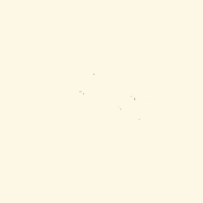 CN1C(Nc2c(Cl)cccc2Cl)=NC2C=Cc3nc(C4=CC(O)CC4)[nH]c(=O)c3C21